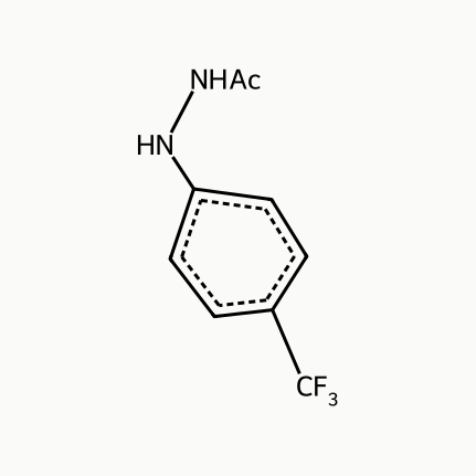 CC(=O)NNc1ccc(C(F)(F)F)cc1